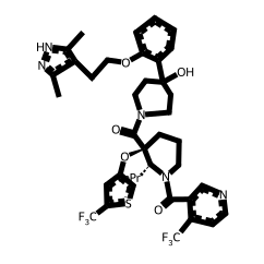 CCC[C@H]1N(C(=O)c2cnccc2C(F)(F)F)CCC[C@@]1(Oc1csc(C(F)(F)F)c1)C(=O)N1CCC(O)(c2ccccc2OCCc2c(C)n[nH]c2C)CC1